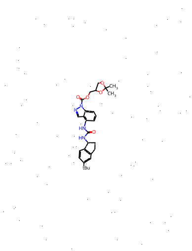 CC1(C)OCC(COC(=O)n2ncc3c(NC(=O)NC4CCc5cc(C(C)(C)C)ccc54)cccc32)O1